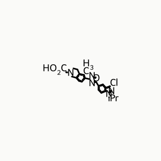 Cc1c(-c2noc(-c3ccc4c(c3)c(Cl)nn4C(C)C)n2)ccc2c1CCN(CC(=O)O)C2